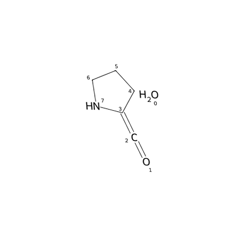 O.O=C=C1CCCN1